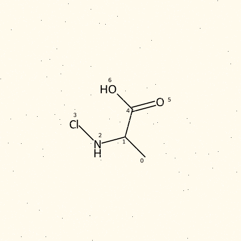 CC(NCl)C(=O)O